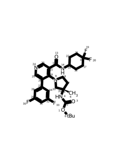 CC(C)(C)OC(=O)N[C@@]1(C)CCN(c2c(C(=O)NC3CCC(F)(F)CC3)cncc2-c2cc(F)cc(F)c2)C1